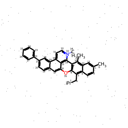 Cc1ccc2c(CC(C)C)c3c(c(C)c2c1)-c1c2c(cc4ccc(-c5ccccc5)cc4c2cc[n+]1C)O3